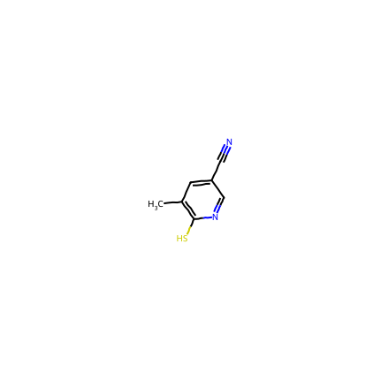 Cc1cc(C#N)cnc1S